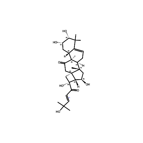 CC(C)(O)/C=C/C(=O)[C@@]1(O)C[C@]23CC(=O)[C@@]4(C)[C@@H]5C[C@H](O)[C@H](O)C(C)(C)C5=CC[C@H]4[C@]2(C)C[C@@H](O)[C@@H]31